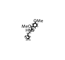 COc1cccc(C(OC)C(=O)NCCc2cccs2)c1